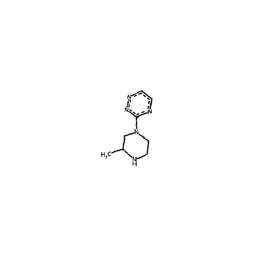 CC1CN(c2nccnn2)CCN1